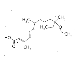 CCOC(C)(CC)CCCC(C)CC=CC(C)=CC(=O)O